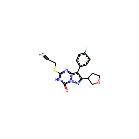 C#CCSc1nc2c(-c3ccc(F)cc3)c(C3CCOC3)nn2c(=O)[nH]1